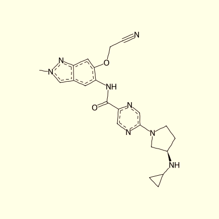 Cn1cc2cc(NC(=O)c3cnc(N4CC[C@@H](NC5CC5)C4)cn3)c(OCC#N)cc2n1